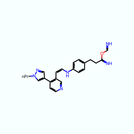 CCCn1cc(-c2ccncc2/C=C\Nc2ccc(CCC(=N)OC=N)cc2)cn1